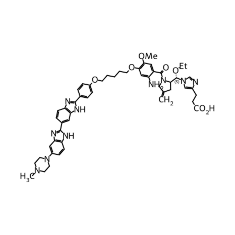 C=C1CC([C@H](OCC)n2cnc(CCC(=O)O)c2)N(C(=O)c2cc(OC)c(OCCCCCOc3ccc(-c4nc5ccc(-c6nc7cc(N8CCN(C)CC8)ccc7[nH]6)cc5[nH]4)cc3)cc2N)C1